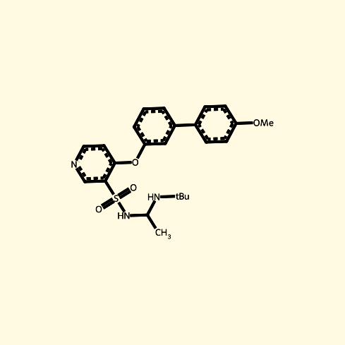 COc1ccc(-c2cccc(Oc3ccncc3S(=O)(=O)NC(C)NC(C)(C)C)c2)cc1